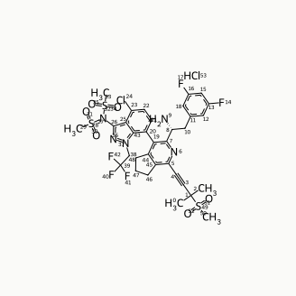 CC(C)(C#Cc1nc([C@H](N)Cc2cc(F)cc(F)c2)c(-c2ccc(Cl)c3c(N(S(C)(=O)=O)S(C)(=O)=O)nn(CC(F)(F)F)c23)c2c1CCC2)S(C)(=O)=O.Cl